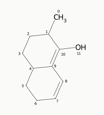 CC1CCC2CCC=CC2=C1O